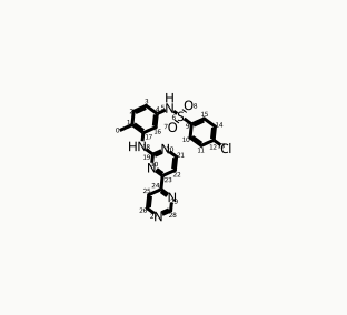 Cc1ccc(NS(=O)(=O)c2ccc(Cl)cc2)cc1Nc1nccc(-c2ccncn2)n1